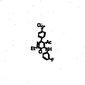 CCn1nc(-c2ccc([S+](C)[O-])cc2)c(C(C)=O)c(Nc2cccc(F)c2)c1=O